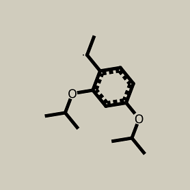 C[CH]c1ccc(OC(C)C)cc1OC(C)C